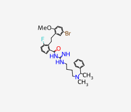 COc1ccc(Br)cc1CCc1c(F)cccc1C(=O)NC(=N)NCCCCN(C)[C@H](C)c1ccccc1